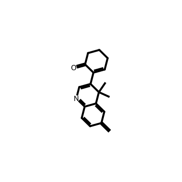 C=c1ccc2c(c1)C(C)(C)C(C1=CCCCC1=O)=CN=2